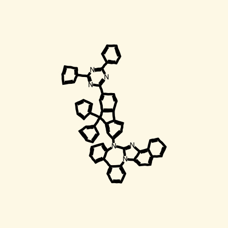 c1ccc(-c2nc(-c3ccccc3)nc(-c3ccc4c(c3)C(c3ccccc3)(c3ccccc3)c3cc(N5c6ccccc6-c6ccccc6-n6c5nc5c7ccccc7ccc56)ccc3-4)n2)cc1